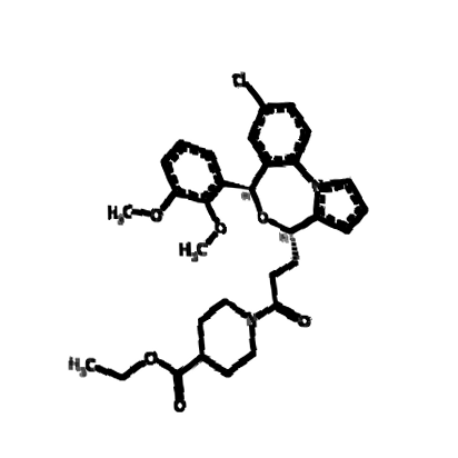 CCOC(=O)C1CCN(C(=O)CC[C@@H]2O[C@@H](c3cccc(OC)c3OC)c3cc(Cl)ccc3-n3cccc32)CC1